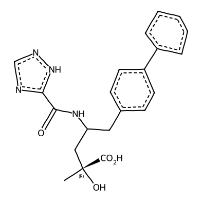 C[C@@](O)(CC(Cc1ccc(-c2ccccc2)cc1)NC(=O)c1ncn[nH]1)C(=O)O